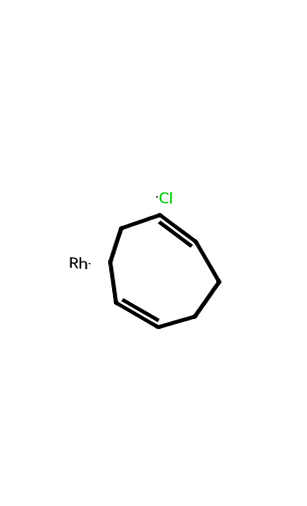 C1=CCCC=CCC1.[Cl].[Rh]